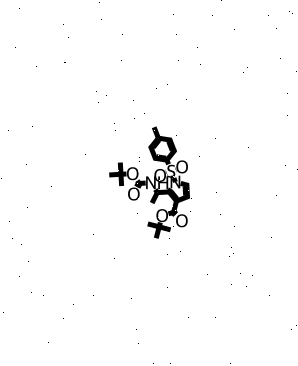 Cc1ccc(S(=O)(=O)n2ccc(C(=O)OC(C)(C)C)c2C(C)NC(=O)OC(C)(C)C)cc1